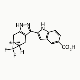 C[C@@]12Cc3[nH]nc(-c4cc5cc(C(=O)O)ccc5[nH]4)c3C[C@@H]1C2(F)F